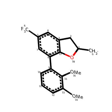 [CH2]C1Cc2cc(C(F)(F)F)cc(-c3cccc(OC)c3OC)c2O1